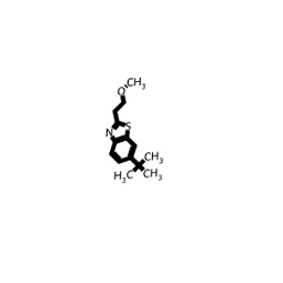 COCCc1nc2ccc(C(C)(C)C)cc2s1